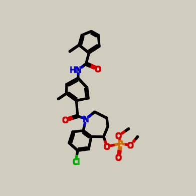 COP(=O)(OC)OC1CCCN(C(=O)c2ccc(NC(=O)c3ccccc3C)cc2C)c2ccc(Cl)cc21